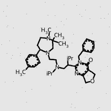 Cc1ccc(C2CCN(C)C(C)(C)CN2CCN(CC(c2nc3c(c(=O)n2Cc2ccccc2)COC3)C(C)C)C(C)C)cc1